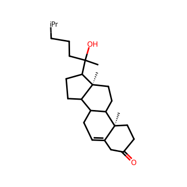 CC(C)CCCC(C)(O)C1CCC2C3CC=C4CC(=O)CC[C@]4(C)C3CC[C@@]21C